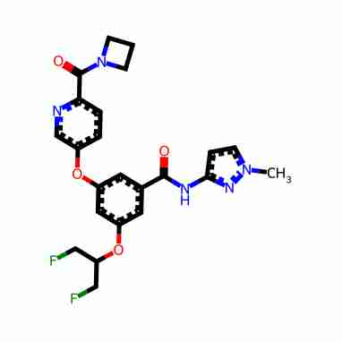 Cn1ccc(NC(=O)c2cc(Oc3ccc(C(=O)N4CCC4)nc3)cc(OC(CF)CF)c2)n1